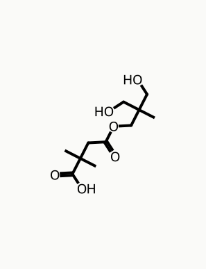 CC(CO)(CO)COC(=O)CC(C)(C)C(=O)O